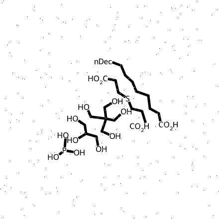 CCCCCCCCCCCCCCCCCC(=O)O.O=C(O)CCSCCC(=O)O.OCC(CO)(CO)CO.OCC(O)CO.OP(O)O